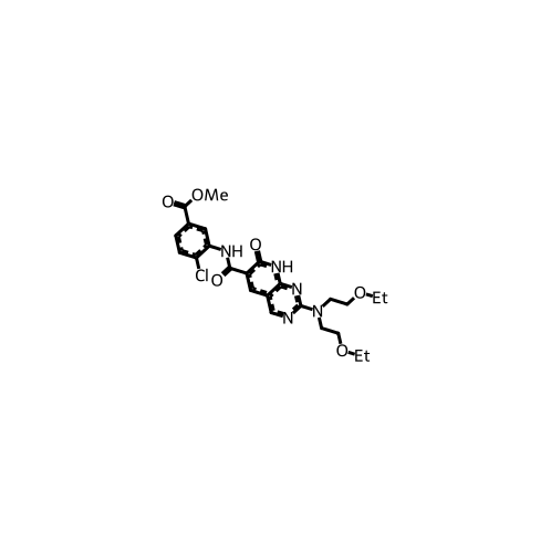 CCOCCN(CCOCC)c1ncc2cc(C(=O)Nc3cc(C(=O)OC)ccc3Cl)c(=O)[nH]c2n1